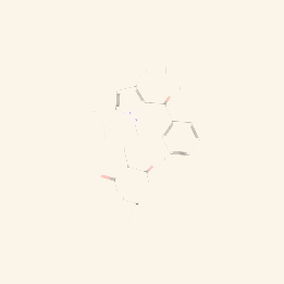 CCCCc1cc(S(C)(=O)=O)n(CCC2C(=O)OC(C)(C)OC2=O)c1C(=O)c1ccccc1